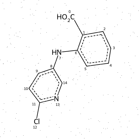 O=C(O)c1ccccc1Nc1ccc(Cl)nc1